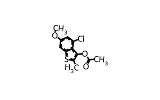 COc1cc(Cl)c2c(OC(C)=O)c(C)sc2c1